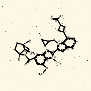 COc1cc(C(=O)N2C[C@H]3CC[C@@H]2C3N)cc2nc(-c3cc4cccc(C5CC(C(=O)O)C5)c4n3CC3CC3)n(C)c12